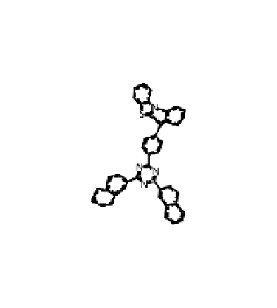 c1ccc2cc(-c3nc(-c4ccc(-c5c6ccccc6n6c5sc5ccccc56)cc4)nc(-c4ccc5ccccc5c4)n3)ccc2c1